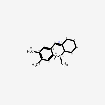 Cc1ccc(/C=C2/CCCCC2N(C)C)cc1C